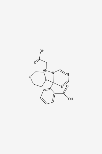 O=C(O)CNN1C=NC=NC1(c1ccccc1C(=O)O)N1CCOCC1